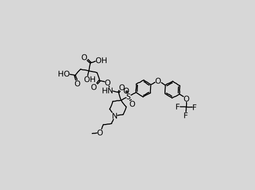 COCCN1CCC(C(=O)NOC(=O)CC(O)(CC(=O)O)C(=O)O)(S(=O)(=O)c2ccc(Oc3ccc(OC(F)(F)F)cc3)cc2)CC1